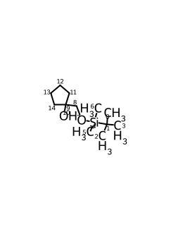 CC(C)(C)[Si](C)(C)OCC1(O)CCCC1